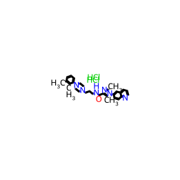 Cc1cccc(N2CCN(CCCNC(=O)c3nc(C)n(-c4ccc5ncccc5c4)c3C)CC2)c1C.Cl.Cl